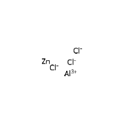 [Al+3].[Cl-].[Cl-].[Cl-].[Zn]